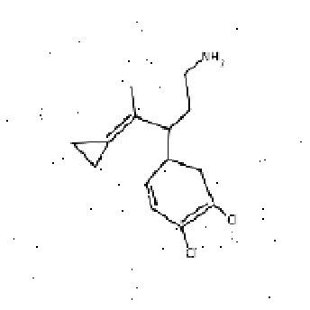 CC(=C1CC1)C(CCN)C1C=CC(Cl)=C(Cl)C1